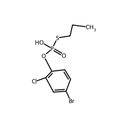 CCCSP(=O)(O)Oc1ccc(Br)cc1Cl